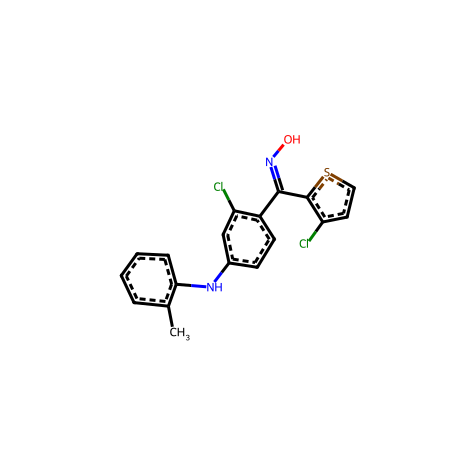 Cc1ccccc1Nc1ccc(C(=NO)c2sccc2Cl)c(Cl)c1